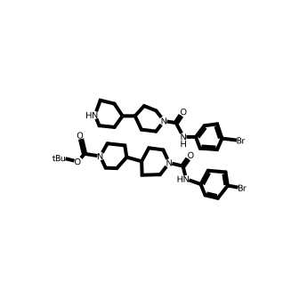 CC(C)(C)OC(=O)N1CCC(C2CCN(C(=O)Nc3ccc(Br)cc3)CC2)CC1.O=C(Nc1ccc(Br)cc1)N1CCC(C2CCNCC2)CC1